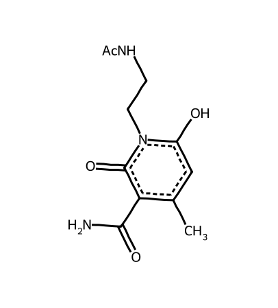 CC(=O)NCCn1c(O)cc(C)c(C(N)=O)c1=O